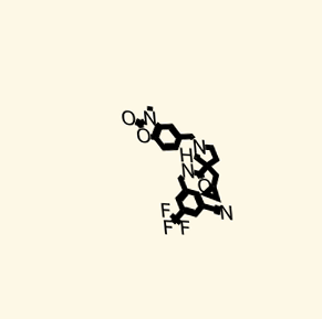 Cn1c(=O)oc2ccc(CN3CCC(CC4CC4)(C(=O)NCc4cc(C#N)cc(C(F)(F)F)c4)C3)cc21